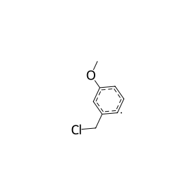 COc1cc[c]c(CCl)c1